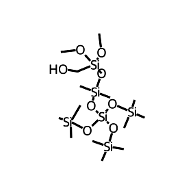 CO[Si](CO)(OC)O[Si](C)(C)O[Si](O[Si](C)(C)C)(O[Si](C)(C)C)O[Si](C)(C)C